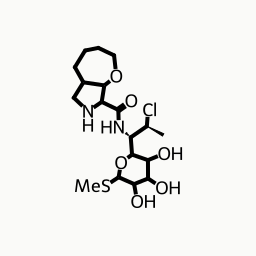 CSC1OC([C@H](NC(=O)C2NCC3CCCCOC32)[C@H](C)Cl)C(O)C(O)C1O